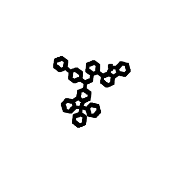 C(=C(/c1ccc(-c2ccccc2)cc1)c1ccc2c(c1)-c1ccccc1C2(c1ccccc1)c1ccccc1)/c1ccccc1-c1cccc2c1sc1ccccc12